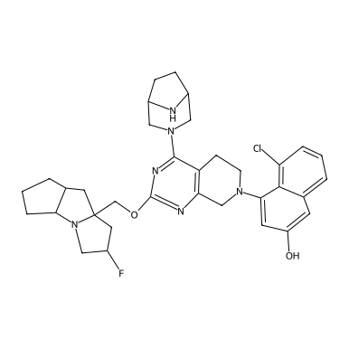 Oc1cc(N2CCc3c(nc(OCC45CC(F)CN4C4CCCC4C5)nc3N3CC4CCC(C3)N4)C2)c2c(Cl)cccc2c1